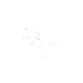 Cc1nn([C@H]2C[C@H](O)[C@@H](CS)O2)c(=O)[nH]c1=O